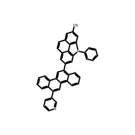 N#Cc1cc2ccc3cc(-c4cc5c6ccccc6c(-c6cccnc6)cc5c5ccccc45)cc4c3c2c(c1)n4-c1ccccc1